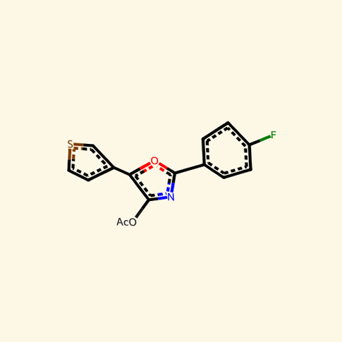 CC(=O)Oc1nc(-c2ccc(F)cc2)oc1-c1ccsc1